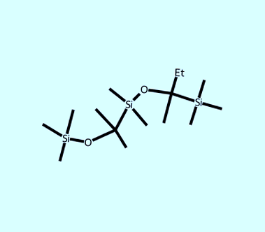 CCC(C)(O[Si](C)(C)C(C)(C)O[Si](C)(C)C)[Si](C)(C)C